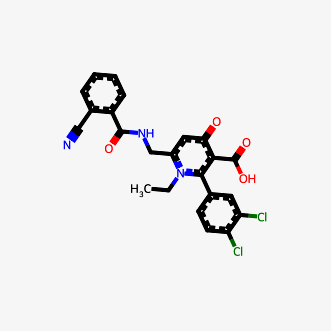 CCn1c(CNC(=O)c2ccccc2C#N)cc(=O)c(C(=O)O)c1-c1ccc(Cl)c(Cl)c1